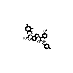 COc1cccc(C(C(=O)NSc2ccc(C)cc2)N2CCc3c(N(CC(=O)O)SC4=C(C)CC=C(C)C=C4C)cccc32)c1